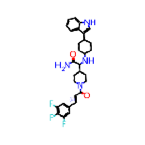 NC(=O)C(NC1CCC(c2c[nH]c3ccccc23)CC1)C1CCN(C(=O)/C=C/c2cc(F)c(F)c(F)c2)CC1